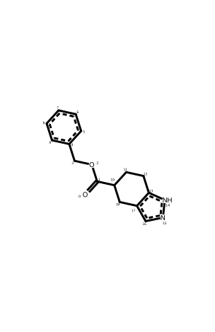 O=C(OCc1ccccc1)C1CCc2[nH]ncc2C1